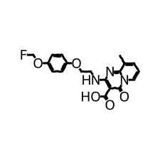 Cc1cccn2c(=O)c(C(=O)O)c(NCCOc3ccc(OCF)cc3)nc12